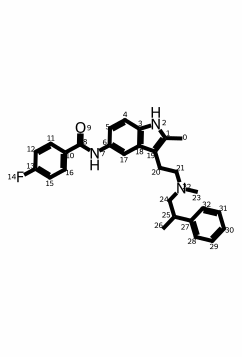 Cc1[nH]c2ccc(NC(=O)c3ccc(F)cc3)cc2c1CCN(C)CC(C)c1ccccc1